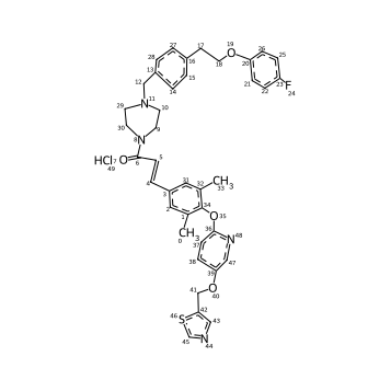 Cc1cc(/C=C/C(=O)N2CCN(Cc3ccc(CCOc4ccc(F)cc4)cc3)CC2)cc(C)c1Oc1ccc(OCc2cncs2)cn1.Cl